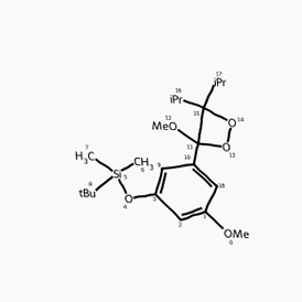 COc1cc(O[Si](C)(C)C(C)(C)C)cc(C2(OC)OOC2(C(C)C)C(C)C)c1